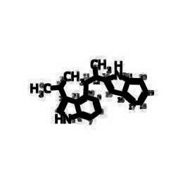 CC(C)c1c[nH]c2cccc(CC(C)c3cc4ccccc4[nH]3)c12